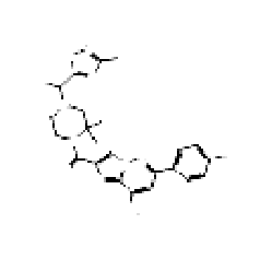 Cc1n[nH]c(C(O)N2CCN(C(=O)c3cn4nc(-c5ccc(F)cc5)cc(C(C)(C)C)c4n3)C(C)(C)C2)n1